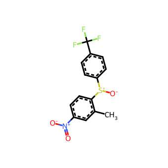 Cc1cc([N+](=O)[O-])ccc1[S+]([O-])c1ccc(C(F)(F)F)cc1